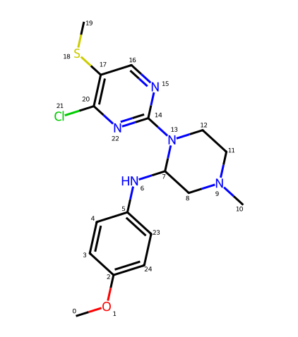 COc1ccc(NC2CN(C)CCN2c2ncc(SC)c(Cl)n2)cc1